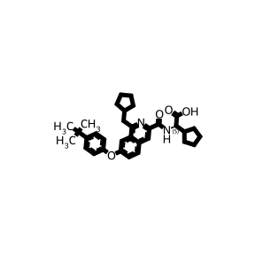 CC(C)(C)c1ccc(Oc2ccc3cc(C(=O)N[C@H](C(=O)O)C4CCCC4)nc(CC4CCCC4)c3c2)cc1